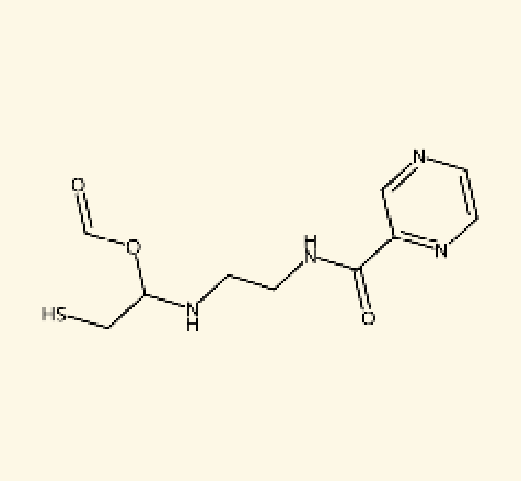 O=COC(CS)NCCNC(=O)c1cnccn1